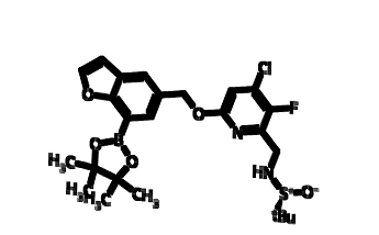 CC(C)(C)[S@+]([O-])NCc1nc(OCc2cc(B3OC(C)(C)C(C)(C)O3)c3occc3c2)cc(Cl)c1F